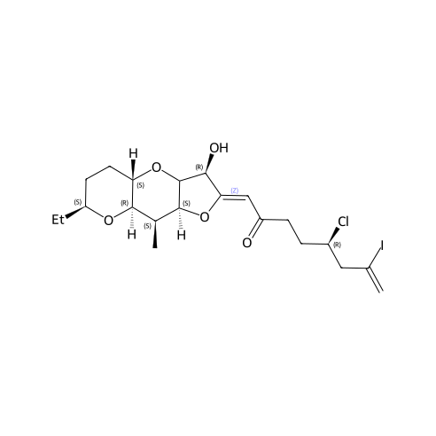 C=C(I)C[C@H](Cl)CCC(=O)/C=C1\O[C@@H]2C(O[C@H]3CC[C@H](CC)O[C@@H]3[C@@H]2C)[C@H]1O